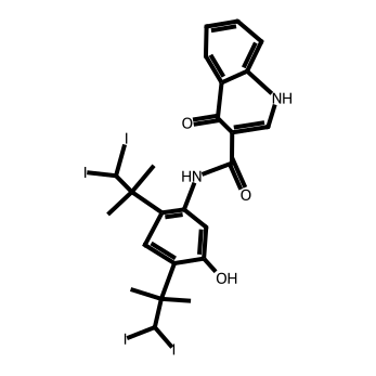 CC(C)(c1cc(C(C)(C)C(I)I)c(NC(=O)c2c[nH]c3ccccc3c2=O)cc1O)C(I)I